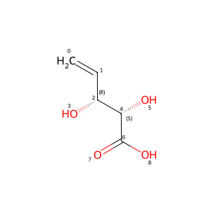 C=C[C@@H](O)[C@H](O)C(=O)O